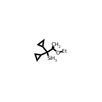 C=C(OCC)C([SiH3])(C1CC1)C1CC1